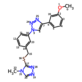 COc1cccc(-c2cn(-c3cccc(CSc4nncn4C)c3)nn2)c1